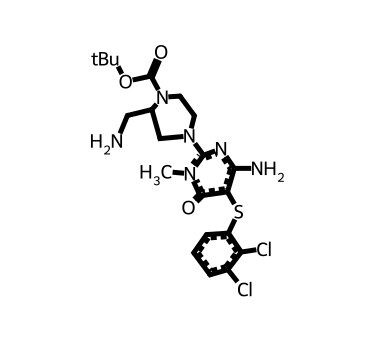 Cn1c(N2CCN(C(=O)OC(C)(C)C)C(CN)C2)nc(N)c(Sc2cccc(Cl)c2Cl)c1=O